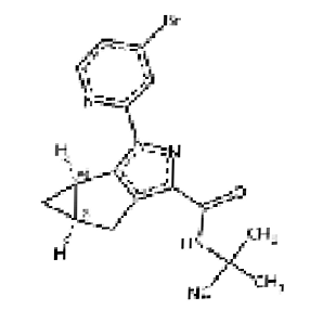 CC(C)(C#N)NC(=O)c1nn(-c2cc(Br)ccn2)c2c1C[C@H]1C[C@@H]21